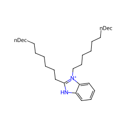 CCCCCCCCCCCCCCCCc1[nH]c2ccccc2[n+]1CCCCCCCCCCCCCCCC